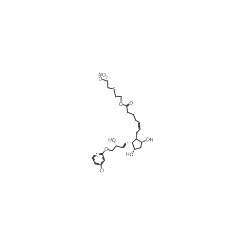 O=C(CCC/C=C\C[C@@H]1[C@@H](/C=C/[C@@H](O)COc2cccc(Cl)c2)[C@H](O)C[C@@H]1O)OCCSCCO[N+](=O)[O-]